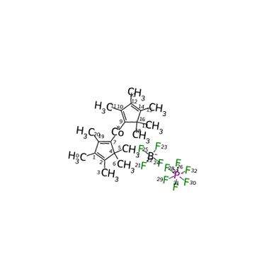 CC1=C(C)C(C)(C)[C]([Co][C]2=C(C)C(C)=C(C)C2(C)C)=C1C.F[B-](F)(F)F.F[P-](F)(F)(F)(F)F